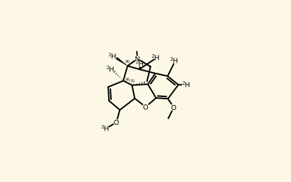 [2H]OC1C=C[C@]2([2H])[C@@]34CCN(C)[C@]2([2H])C([2H])([2H])c2c([2H])c([2H])c(OC)c(c23)OC14